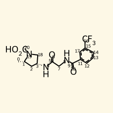 C[C@H]1C[C@@H](NC(=O)CNC(=O)c2cccc(C(F)(F)F)c2)CN1C(=O)O